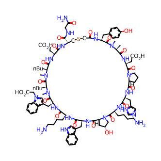 CCCC[C@H]1C(=O)N(C)[C@@H](CCCC)C(=O)N[C@@H](CC(=O)O)C(=O)N[C@H](C(=O)NCC(N)=O)CSCC(=O)N[C@@H](Cc2ccc(O)cc2)C(=O)N(C)[C@@H](C)C(=O)N[C@@H](CC(=O)O)C(=O)N2CCC[C@H]2C(=O)N[C@@H](Cc2cnc[nH]2)C(=O)N[C@@H](CCCCN)C(=O)N2C[C@H](O)C[C@H]2C(=O)N[C@@H](Cc2c[nH]c3ccccc23)C(=O)N[C@@H](CCCCN)C(=O)N[C@@H](Cc2cn(CC(=O)O)c3ccccc23)C(=O)N1C